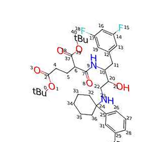 CC(C)(C)OC(=O)CCC(C(=O)NC(Cc1cc(F)cc(F)c1)C(O)CNC1(c2cccc(C(C)(C)C)c2)CCCCC1)C(=O)OC(C)(C)C